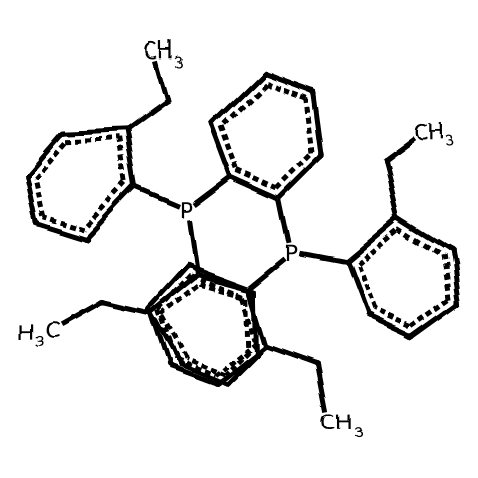 CCc1ccccc1P(c1ccccc1CC)c1ccccc1P(c1ccccc1CC)c1ccccc1CC